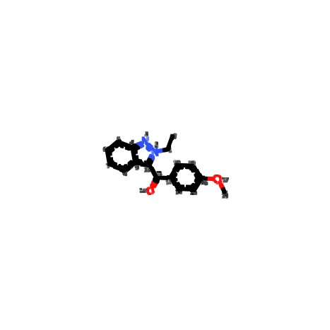 CCn1nc2ccccc2c1C(=O)c1ccc(OC)cc1